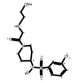 COCCNCC(=O)N1CCC(N(C(C)C)S(=O)(=O)c2cccc(C(F)(F)F)c2)CC1